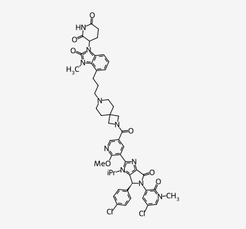 COc1ncc(C(=O)N2CC3(CCN(CCCc4cccc5c4n(C)c(=O)n5C4CCC(=O)NC4=O)CC3)C2)cc1-c1nc2c(n1C(C)C)[C@H](c1ccc(Cl)cc1)N(c1cc(Cl)cn(C)c1=O)C2=O